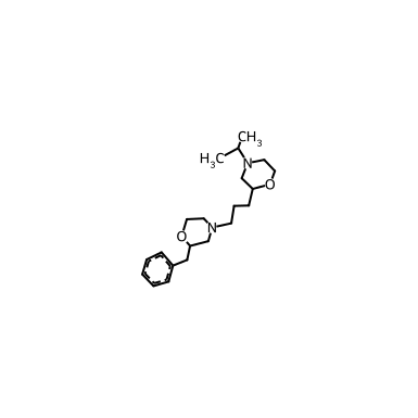 CC(C)N1CCOC(CCCN2CCOC(Cc3ccccc3)C2)C1